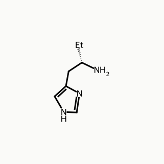 CC[C@H](N)Cc1c[nH]cn1